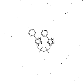 CC(C)(Cn1cc(-c2ccccc2)nn1)CC(C)(C)Cn1cc(-c2ccccc2)nn1